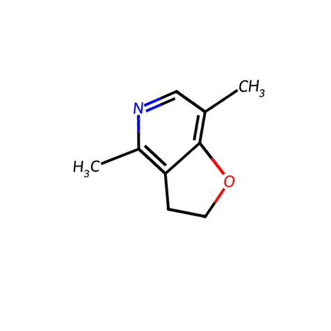 Cc1cnc(C)c2c1OCC2